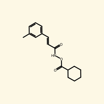 Cc1cccc(C=CC(=O)NOC(=O)C2CCCCC2)c1